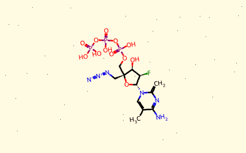 C=C1N=C(N)C(C)=CN1[C@@H]1O[C@](CN=[N+]=[N-])(COP(=O)(O)OP(=O)(O)OP(=O)(O)O)[C@@H](O)[C@H]1F